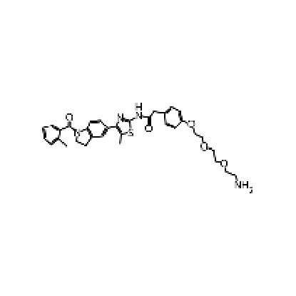 Cc1ccccc1C(=O)N1CCc2cc(-c3nc(NC(=O)Cc4ccc(OCCOCCOCCN)cc4)sc3C)ccc21